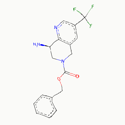 N[C@@H]1CN(C(=O)OCc2ccccc2)Cc2cc(C(F)(F)F)cnc21